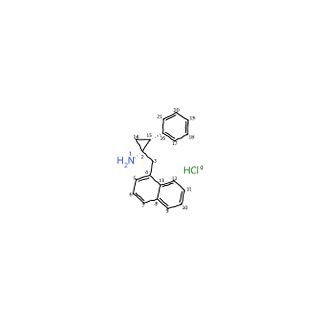 Cl.N[C@]1(Cc2cccc3ccccc23)C[C@@H]1c1ccccc1